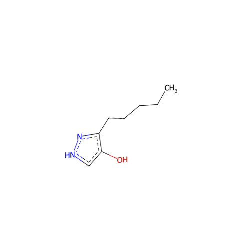 CCCCCc1n[nH]cc1O